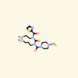 CCCCN(C(=O)N1CCN(C)CC1)C(=O)N(CCC)C(=O)c1nccs1